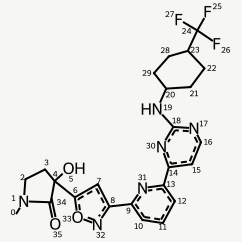 CN1CCC(O)(c2cc(-c3cccc(-c4ccnc(NC5CCC(C(F)(F)F)CC5)n4)n3)no2)C1=O